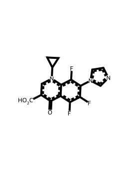 O=C(O)c1cn(C2CC2)c2c(F)c(-n3ccnc3)c(F)c(F)c2c1=O